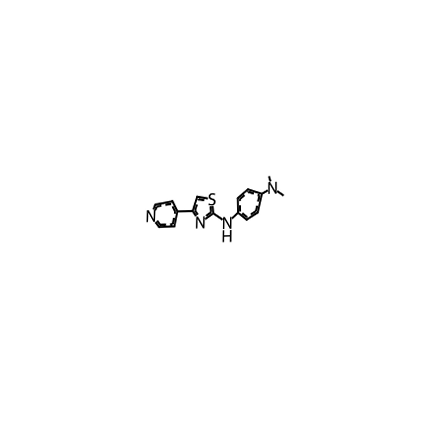 CN(C)c1ccc(Nc2nc(-c3ccncc3)cs2)cc1